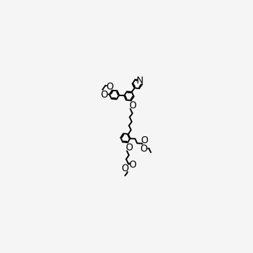 CCOC(=O)CCCOc1cccc(CCCCCCOc2cc(-c3ccncc3)cc(-c3ccc4c(c3)OCCO4)c2)c1CCC(=O)OCC